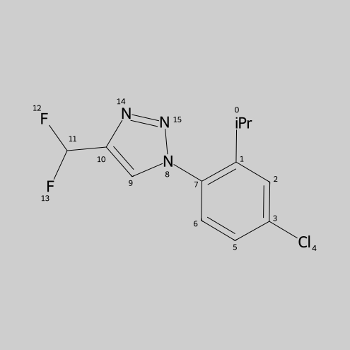 CC(C)c1cc(Cl)ccc1-n1cc(C(F)F)nn1